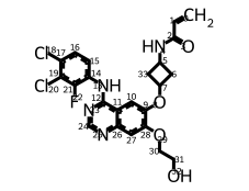 C=CC(=O)NC1CC(Oc2cc3c(Nc4ccc(Cl)c(Cl)c4F)ncnc3cc2OCCO)C1